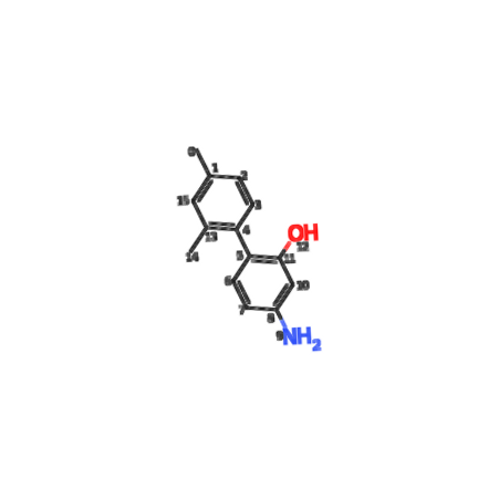 Cc1ccc(-c2ccc(N)cc2O)c(C)c1